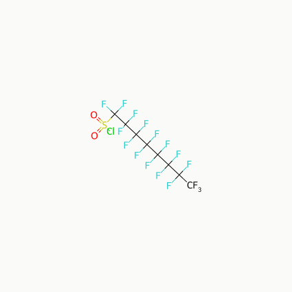 O=S(=O)(Cl)C(F)(F)C(F)(F)C(F)(F)C(F)(F)C(F)(F)C(F)(F)C(F)(F)C(F)(F)F